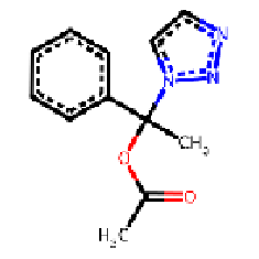 CC(=O)OC(C)(c1ccccc1)n1ccnn1